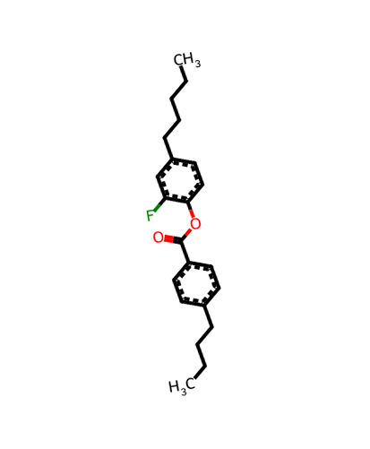 CCCCCc1ccc(OC(=O)c2ccc(CCCC)cc2)c(F)c1